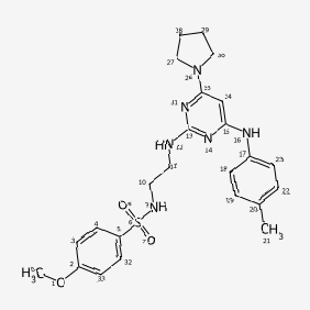 COc1ccc(S(=O)(=O)NCCNc2nc(Nc3ccc(C)cc3)cc(N3CCCC3)n2)cc1